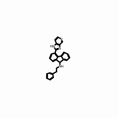 c1ccc(CCNC2c3ccccc3-c3c(-c4nc5cnccc5[nH]4)cccc32)cc1